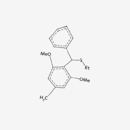 CCSC(c1ccccc1)c1c(OC)cc(C)cc1OC